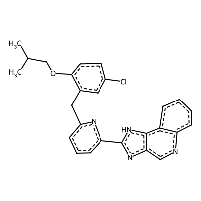 CC(C)COc1ccc(Cl)cc1Cc1cccc(-c2nc3cnc4ccccc4c3[nH]2)n1